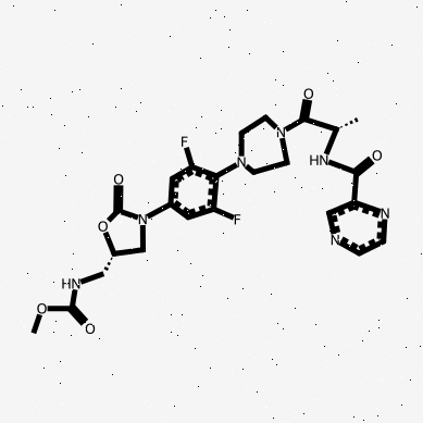 COC(=O)NC[C@H]1CN(c2cc(F)c(N3CCN(C(=O)[C@H](C)NC(=O)c4cnccn4)CC3)c(F)c2)C(=O)O1